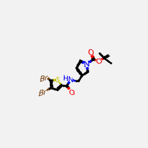 CC(C)(C)OC(=O)N1CCC(CNC(=O)c2cc(Br)c(Br)s2)C1